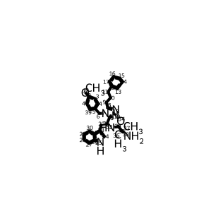 COc1ccc(Cn2c(CCCc3ccccc3)nnc2[C@H](Cc2c[nH]c3ccccc23)NC(=O)C(C)(C)N)cc1